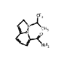 CC(N1CC=C2C=CC=C(C(N)=O)N21)C(F)(F)F